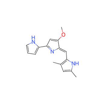 COC1=CC(c2ccc[nH]2)=NC1=Cc1[nH]c(C)cc1C